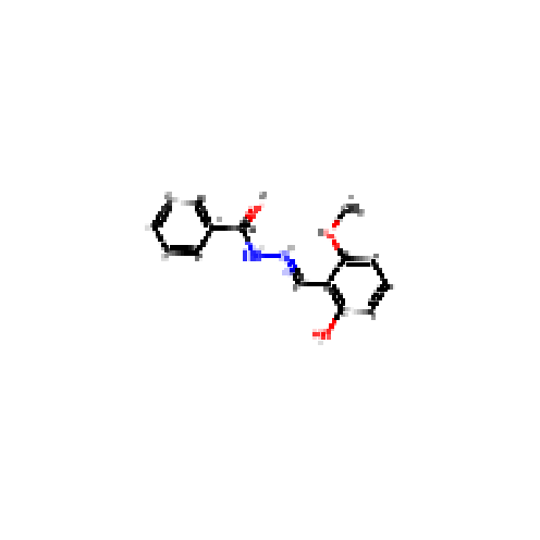 COc1cccc(O)c1/C=N/NC(=O)c1ccccc1